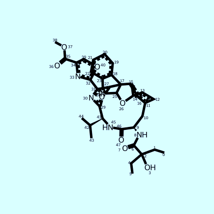 CCC(O)(CC)C(=O)N[C@H]1Cc2ccc3c(c2)C2(c4ccccc4NC2O3)c2oc(nc2-c2nc(C(=O)OC)co2)[C@H](C(C)C)NC1=O